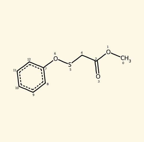 COC(=O)CSOc1ccccc1